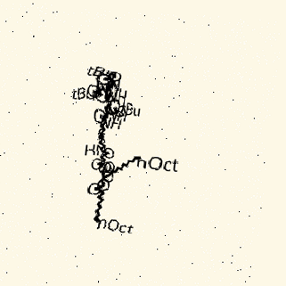 CCCCCCCC/C=C\CCCCCCCC(=O)OC[C@@H](COC(=O)CCC(=O)NCCSSCCNC(=O)C(CCCN/C(=N/C(=O)OC(C)(C)C)NC(=O)OC(C)(C)C)NC(=O)OC(C)(C)C)OC(=O)CCCCCCC/C=C\CCCCCCCC